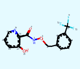 O=C(NOCc1cccc(C(F)(F)F)c1)c1ncccc1O